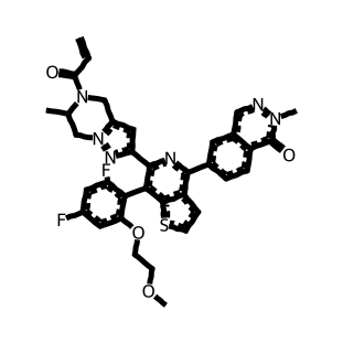 C=CC(=O)N1Cc2cc(-c3nc(-c4ccc5c(=O)n(C)ncc5c4)c4ccsc4c3-c3c(F)cc(F)cc3OCCOC)nn2CC1C